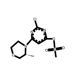 C[C@@H]1COCCN1c1cc(OS(C)(=O)=O)nc(Cl)n1